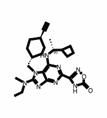 C#C[C@H]1CC[C@H](Cn2c(N(C)CC)nc3nc(-c4noc(=O)[nH]4)nc(N[C@H](C)C4CCC4)c32)CC1